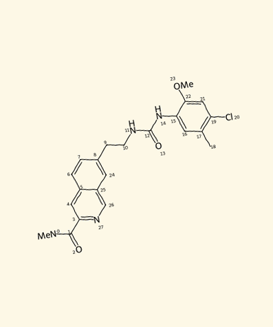 CNC(=O)c1cc2ccc(CCNC(=O)Nc3cc(C)c(Cl)cc3OC)cc2cn1